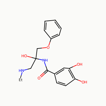 CCNCC(O)(COc1ccccc1)NC(=O)c1ccc(O)c(O)c1